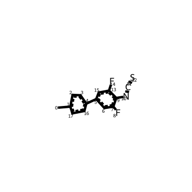 Cc1ccc(-c2cc(F)c(N=C=S)c(F)c2)cc1